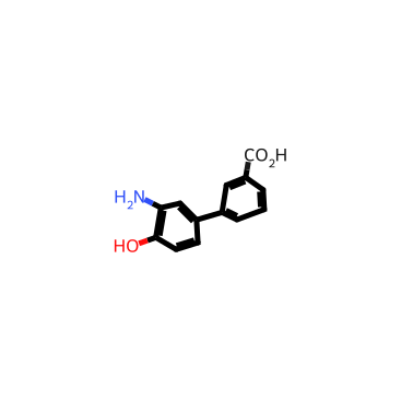 Nc1cc(-c2cccc(C(=O)O)c2)ccc1O